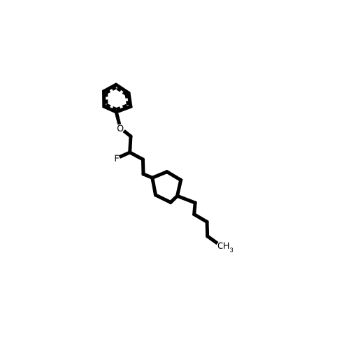 CCCCCC1CCC(CCC(F)COc2ccccc2)CC1